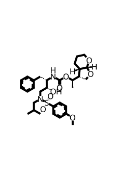 COc1ccc(S(=O)(=O)N(CC(C)C)C[C@@H](O)[C@H](Cc2ccccc2)NC(=O)O[C@H](C)[C@H]2CO[C@H]3OCCC[C@H]32)cc1